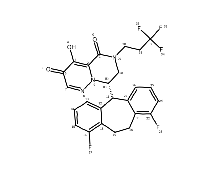 O=C1c2c(O)c(=O)cnn2[C@@H](C2c3cccc(F)c3CCc3c(F)cccc32)CN1CCC(F)(F)F